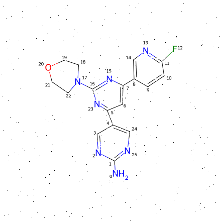 Nc1ncc(-c2cc(-c3ccc(F)nc3)nc(N3CCOCC3)n2)cn1